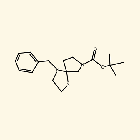 CC(C)(C)OC(=O)N1CCC2(C1)SCCN2Cc1ccccc1